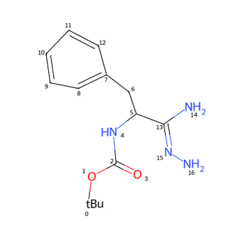 CC(C)(C)OC(=O)NC(Cc1ccccc1)/C(N)=N/N